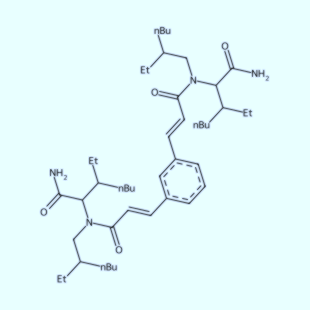 CCCCC(CC)CN(C(=O)C=Cc1cccc(C=CC(=O)N(CC(CC)CCCC)C(C(N)=O)C(CC)CCCC)c1)C(C(N)=O)C(CC)CCCC